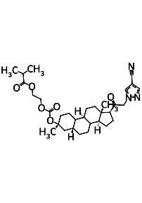 CC(C)C(=O)OCCOC(=O)O[C@]1(C)CCC2[C@H](CCC3[C@@H]2CC[C@]2(C)[C@@H](C(=O)Cn4cc(C#N)cn4)CC[C@@H]32)C1